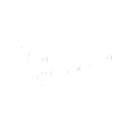 CC(O)(/C=C/C(O)C(O)/C=C/C(=O)O)C(O)CC(O)/C=C/C=C/C=C/CO